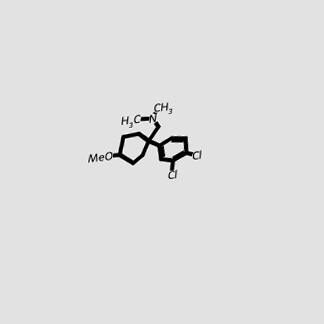 COC1CCC(CN(C)C)(c2ccc(Cl)c(Cl)c2)CC1